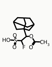 CC(=O)OC(C(F)S(=O)(=O)O)C12CC3CC(CC(C3)C1)C2